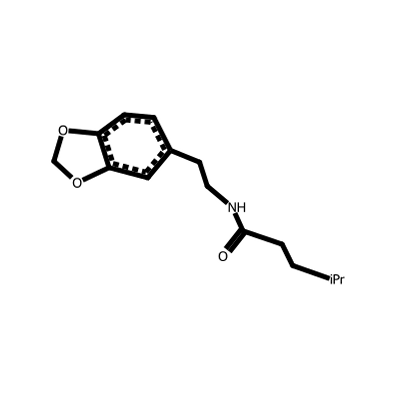 CC(C)CCC(=O)NCCc1ccc2c(c1)OCO2